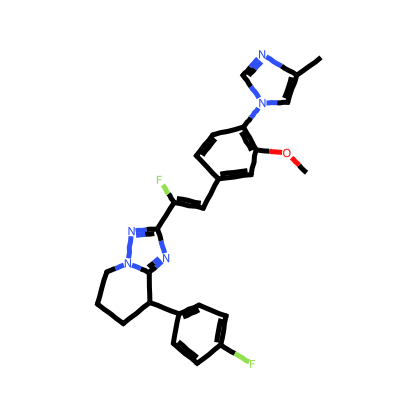 COc1cc(C=C(F)c2nc3n(n2)CCCC3c2ccc(F)cc2)ccc1-n1cnc(C)c1